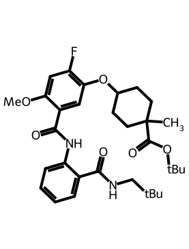 COc1cc(F)c(OC2CCC(C)(C(=O)OC(C)(C)C)CC2)cc1C(=O)Nc1ccccc1C(=O)NCC(C)(C)C